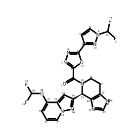 O=C(c1nnc(-c2ccn(C(F)F)n2)o1)N1CCc2[nH]cnc2[C@H]1c1cc2c(OC(F)F)cccn2n1